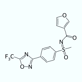 CS(=O)(=NC(=O)c1ccoc1)c1ccc(-c2noc(C(F)(F)F)n2)cc1